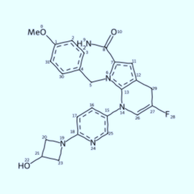 COc1ccc(Cn2c(C(N)=O)cc3c2N(c2ccc(N4CC(O)C4)nc2)C=C(F)C3)cc1